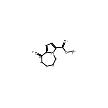 CC(C)OC(=O)c1ccc2n1CCCCC2=O